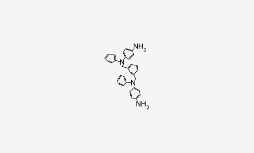 Nc1ccc(N(Cc2cccc(CN(c3ccccc3)c3ccc(N)cc3)c2)c2ccccc2)cc1